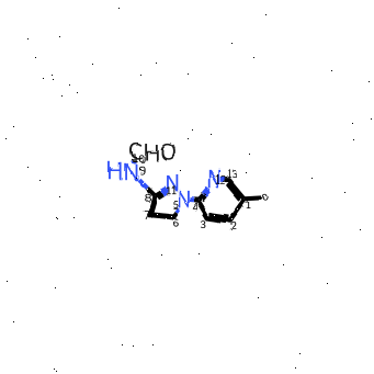 Cc1ccc(N2CCC(NC=O)=N2)nc1